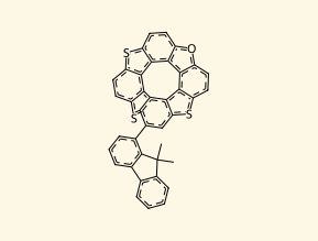 CC1(C)c2ccccc2-c2cccc(-c3cc4sc5ccc6oc7ccc8sc9ccc%10sc3c3c4c5c6c7c8c9c%103)c21